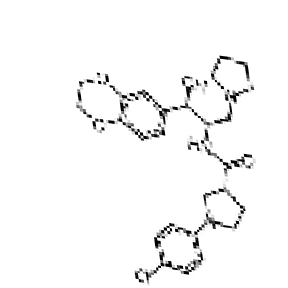 O=C(N[C@H](CN1CCCC1)[C@H](O)c1ccc2c(c1)OCCO2)[C@@H]1CCN(c2ccc(Cl)cc2)C1